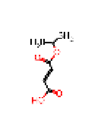 BC(B)OC(=O)/C=C/C(=O)O